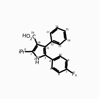 CC(C)c1[nH]c(-c2ccc(F)cc2)c(-c2ccccc2)c1C(=O)O